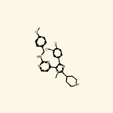 COc1ccc(CNc2nccc(-c3c(-c4ccc(Cl)c(Cl)c4)nc(C4CCNCC4)n3C)n2)cc1